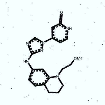 COCCN1CCCc2ccc(Nc3ncn(-c4cc[nH]c(=O)c4)n3)cc21